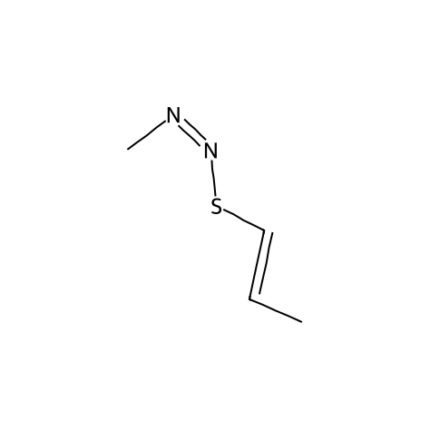 C/C=C/S/N=N\C